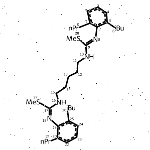 CCCc1cccc(C(C)CC)c1/N=C(/NCCCCCN/C(=N\c1c(CCC)cccc1C(C)CC)SC)SC